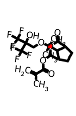 C=C(C)C(=O)OC1OC(=O)C2CCC1C2C(C)(C)OCC(O)(C(F)(F)F)C(F)(F)F